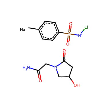 Cc1ccc(S(=O)(=O)[N-]Cl)cc1.NC(=O)CN1CC(O)CC1=O.[Na+]